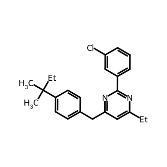 CCc1cc(Cc2ccc(C(C)(C)CC)cc2)nc(-c2cccc(Cl)c2)n1